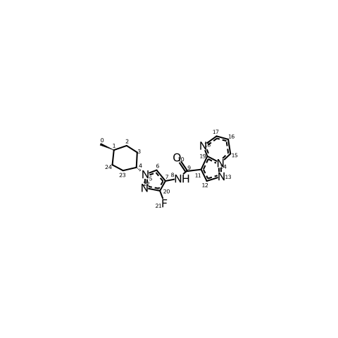 C[C@H]1CC[C@H](n2cc(NC(=O)c3cnn4cccnc34)c(F)n2)CC1